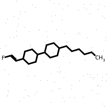 CCCCCCC1CCC(C2CCC(C=CF)CC2)CC1